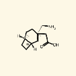 NC[C@@]1(CC(=O)O)CC[C@H]2CC[C@H]2C1